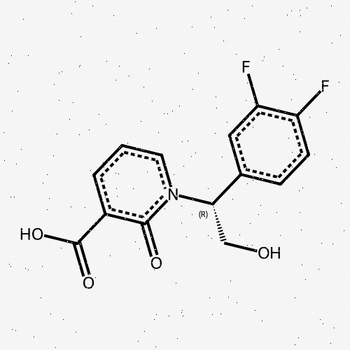 O=C(O)c1cccn([C@@H](CO)c2ccc(F)c(F)c2)c1=O